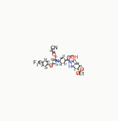 CCS(=O)(=O)c1ccc([C@H](CO)NC(=O)c2ccc(N3C[C@H](Oc4ccc(C(F)(F)F)cc4)C[C@H]3COCCC#N)cc2)cc1